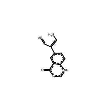 N=C/C(=C\N)c1ccc2[nH]cnc(=O)c2c1